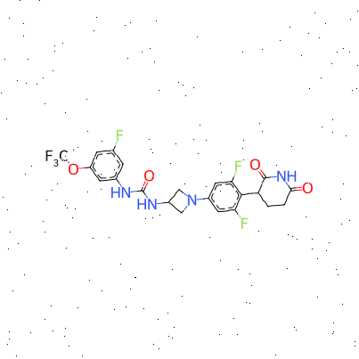 O=C1CCC(c2c(F)cc(N3CC(NC(=O)Nc4cc(F)cc(OC(F)(F)F)c4)C3)cc2F)C(=O)N1